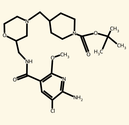 COc1nc(N)c(Cl)cc1C(=O)NCC1CN(CC2CCN(C(=O)OC(C)(C)C)CC2)CCO1